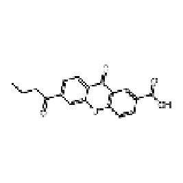 CCCC(=O)c1ccc2c(=O)c3cc(C(=O)O)ccc3oc2c1